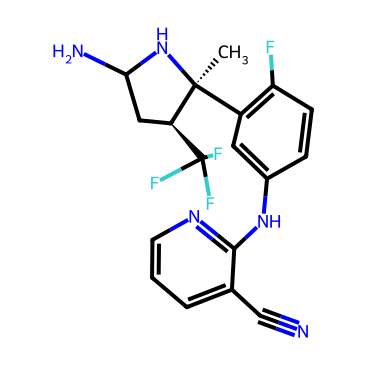 C[C@@]1(c2cc(Nc3ncccc3C#N)ccc2F)NC(N)C[C@@H]1C(F)(F)F